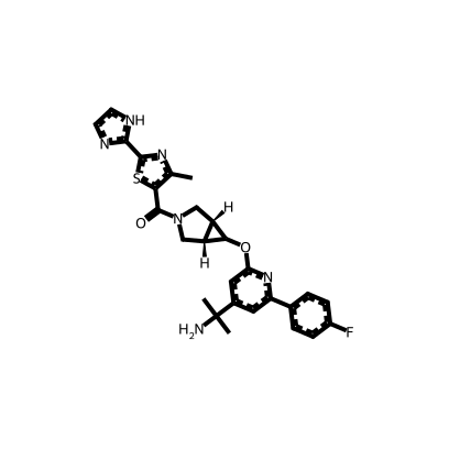 Cc1nc(-c2ncc[nH]2)sc1C(=O)N1C[C@@H]2C(Oc3cc(C(C)(C)N)cc(-c4ccc(F)cc4)n3)[C@@H]2C1